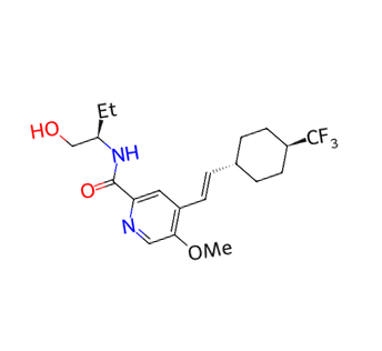 CC[C@H](CO)NC(=O)c1cc(/C=C/[C@H]2CC[C@H](C(F)(F)F)CC2)c(OC)cn1